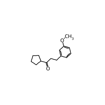 COc1cccc(CCC(=O)C2CCCC2)c1